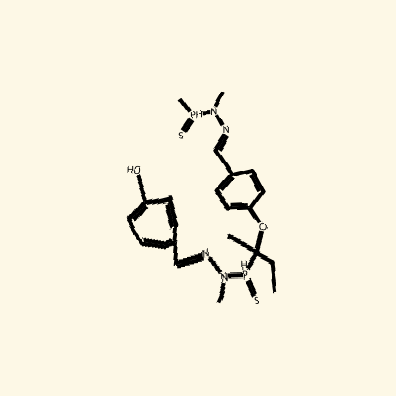 CCC(C)(Oc1ccc(C=NN(C)[PH](C)=S)cc1)[PH](=S)N(C)N=Cc1ccc(O)cc1